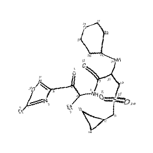 CCc1nc(C(=O)C(CC)NC(=O)C(CS(=O)(=O)CC2CC2)NC2CCOCC2)no1